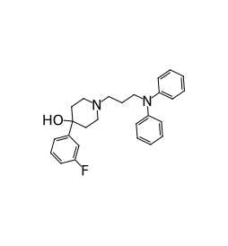 OC1(c2cccc(F)c2)CCN(CCCN(c2ccccc2)c2ccccc2)CC1